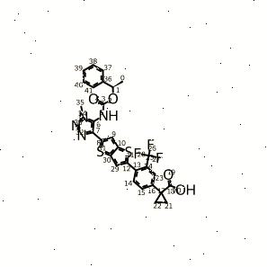 C[C@@H](OC(=O)Nc1c(-c2cc3sc(-c4ccc(C5(C(=O)O)CC5)cc4C(F)(F)F)cc3s2)nnn1C)c1ccccc1